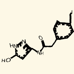 O=C(Cc1ccc(I)cc1)Nc1cc(O)[nH]n1